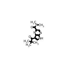 CN(C)C(=O)c1cnc2[nH]cc(C(=O)C(C)(C)C)c2n1